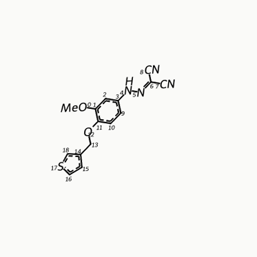 COc1cc(NN=C(C#N)C#N)ccc1OCc1ccsc1